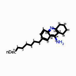 CCCCCCCCCCCCCCCCc1ccc2nc3c(c(N)c2c1)CCCC3